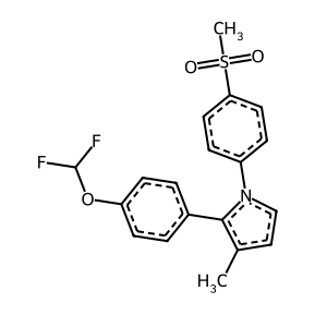 Cc1ccn(-c2ccc(S(C)(=O)=O)cc2)c1-c1ccc(OC(F)F)cc1